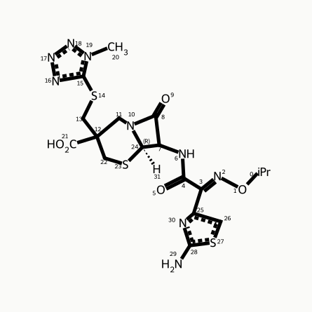 CC(C)ON=C(C(=O)NC1C(=O)N2CC(CSc3nnnn3C)(C(=O)O)CS[C@H]12)c1csc(N)n1